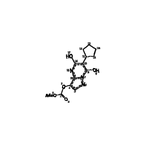 COC(=O)Oc1cnn2c(O)c(C3CCCC3)c(O)nc12